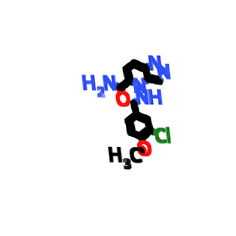 COc1ccc(CNn2c(C(N)=O)ccc3nncc2-3)cc1Cl